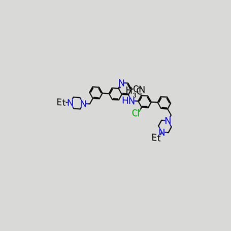 CCN1CCN(Cc2cccc(-c3cc(C)c(Nc4c(C#N)cnc5cc(-c6cccc(CN7CCN(CC)CC7)c6)ccc45)c(Cl)c3)c2)CC1